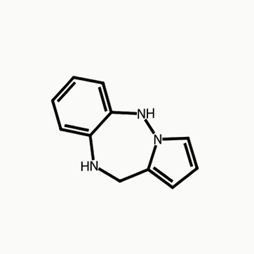 c1ccc2c(c1)NCc1cccn1N2